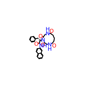 O=C1CCCC(=O)NCC(=O)N([C@@H](Cc2ccccc2)C(=O)Nc2ccc3ccccc3c2)C(=O)CN1